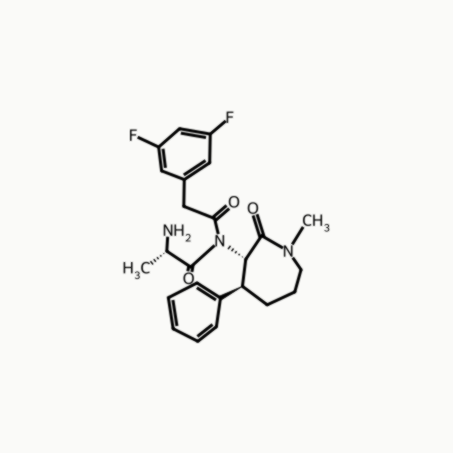 C[C@H](N)C(=O)N(C(=O)Cc1cc(F)cc(F)c1)[C@@H]1C(=O)N(C)CCC[C@H]1c1ccccc1